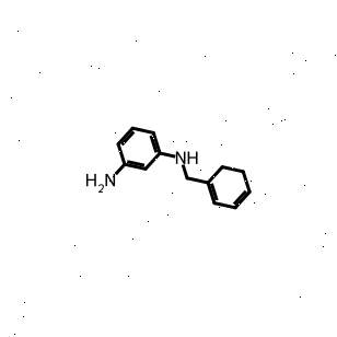 Nc1cccc(NCC2=CC=CCC2)c1